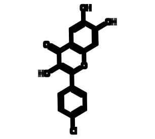 O=c1c(O)c(-c2ccc(Cl)cc2)oc2cc(O)c(O)cc12